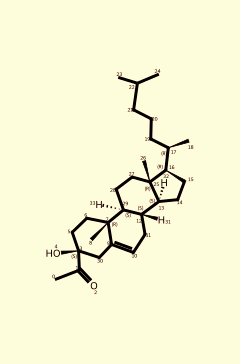 CC(=O)[C@]1(O)CC[C@@]2(C)C(=CC[C@H]3[C@@H]4CC[C@H]([C@H](C)CCCC(C)C)[C@@]4(C)CC[C@@H]32)C1